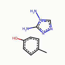 Cc1ccc(O)cc1.Nc1nncn1N